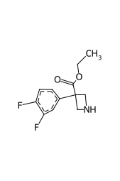 CCOC(=O)C1(c2ccc(F)c(F)c2)CNC1